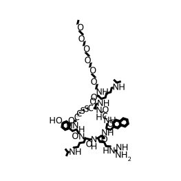 CCOCCOCCOCCOCCOCCOCCNC(=O)C(CCCCNC(C)C)NC(=O)C1CSSCCC(=O)NC(Cc2ccc(O)cc2)C(=O)NC(CCCCNC(C)C)C(=O)NC(/C=C/CCNC(=N)N)C(=O)NC(Cc2ccc3ccccc3c2)C(=O)NCC(=O)N1